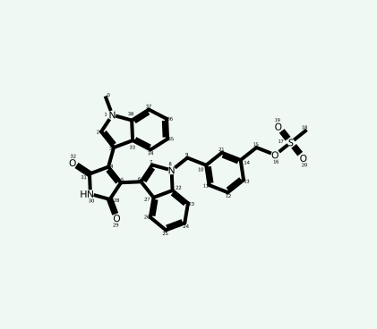 Cn1cc(C2=C(c3cn(Cc4cccc(COS(C)(=O)=O)c4)c4ccccc34)C(=O)NC2=O)c2ccccc21